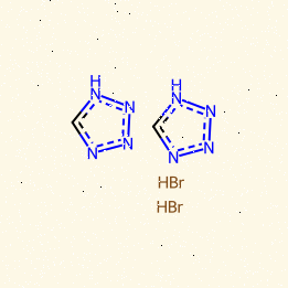 Br.Br.c1nnn[nH]1.c1nnn[nH]1